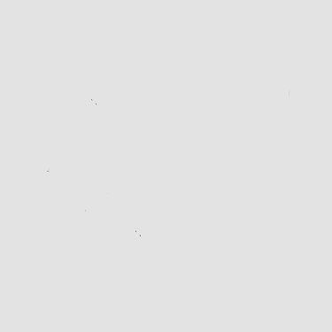 O=NOC(=O)c1c(Br)cncc1Sc1ccc(CO)cc1